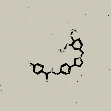 COc1ccc(CN2CCC(c3ccc(CNC(=O)c4ccc(Cl)cc4)cc3)C2)cc1OC